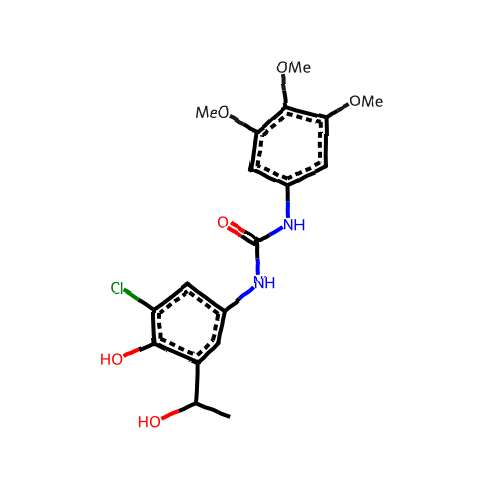 COc1cc(NC(=O)Nc2cc(Cl)c(O)c(C(C)O)c2)cc(OC)c1OC